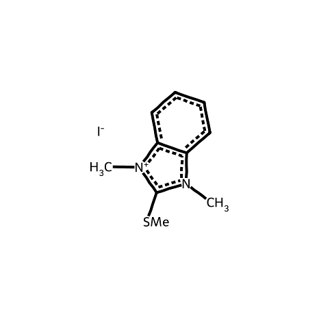 CSc1n(C)c2ccccc2[n+]1C.[I-]